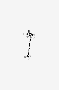 Oc1c(Br)cc(Br)c(C(Br)CCCCCCCCCCCCCC(Br)(Br)Br)c1Br